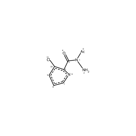 CC(=O)N(N)C(=O)c1ncccc1Cl